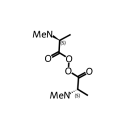 CN[C@@H](C)C(=O)OOC(=O)[C@H](C)NC